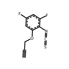 C#CCOc1cc(F)cc(F)c1N=C=S